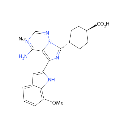 COc1cccc2cc(-c3nc([C@H]4CC[C@H](C(=O)O)CC4)n4ncnc(N)c34)[nH]c12.[Na]